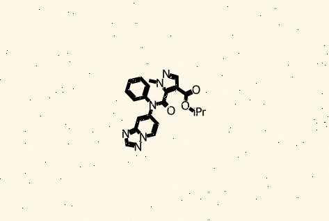 CC(C)OC(=O)c1cnn(C)c1C(=O)N(c1ccccc1)c1ccn2ncnc2c1